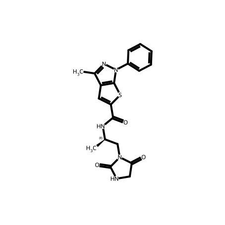 Cc1nn(-c2ccccc2)c2sc(C(=O)N[C@H](C)CN3C(=O)CNC3=O)cc12